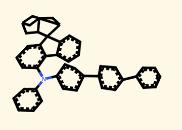 c1ccc(-c2ccc(-c3ccc(N(c4ccccc4)c4cccc5c4-c4ccccc4C54C5CC6CC(C5)C4C6)cc3)cc2)cc1